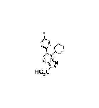 O=C(O)c1cnn2c(C3CCCCC3)c(-c3ccc(F)cc3)cnc12